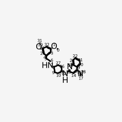 COc1cc(CCN[C@H]2CC[C@@H](Nc3cc(N(C)C)c4ccccc4n3)CC2)cc(OC)c1